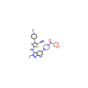 CCn1nc2ncc(N3CCN(C(=O)[C@H]4CCOC4)CC3)cc2c1N(C)c1nc(-c2ccc(F)cc2)c(C#N)s1